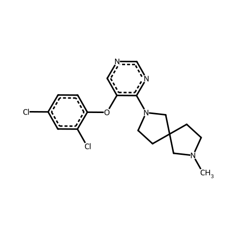 CN1CCC2(CCN(c3ncncc3Oc3ccc(Cl)cc3Cl)C2)C1